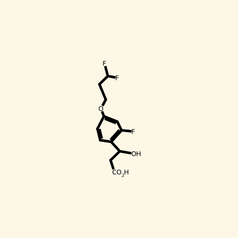 O=C(O)CC(O)c1ccc(OCCC(F)F)cc1F